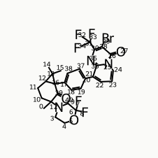 CC1(N2CCOC(F)(F)C2)CCC2C(C)(C)C2(c2ccc(-c3cccn4c(=O)c(Br)c(C(F)(F)F)nc34)cc2)C1=O